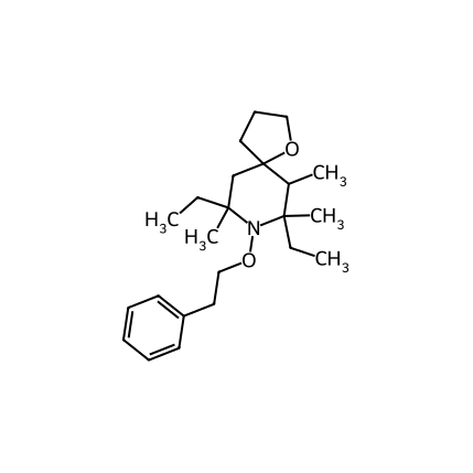 CCC1(C)CC2(CCCO2)C(C)C(C)(CC)N1OCCc1ccccc1